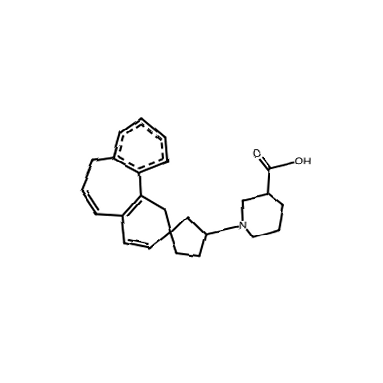 O=C(O)C1CCCN(C2CCC3(C=CC4=C(C3)c3ccccc3CC=C4)C2)C1